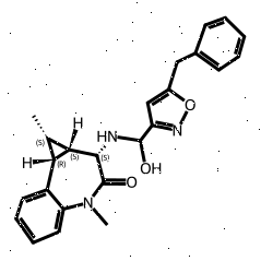 C[C@H]1[C@H]2c3ccccc3N(C)C(=O)[C@@H](NC(O)c3cc(Cc4ccccc4)on3)[C@@H]12